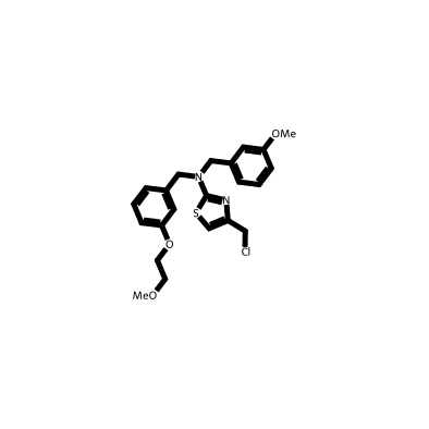 COCCOc1cccc(CN(Cc2cccc(OC)c2)c2nc(CCl)cs2)c1